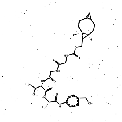 CC(C)[C@H](NC(=O)CNC(=O)CNC(=O)OCC1[C@H]2CCC3=CC3CC[C@@H]12)C(=O)N[C@@H](C)C(=O)Nc1ccc(CO)cc1